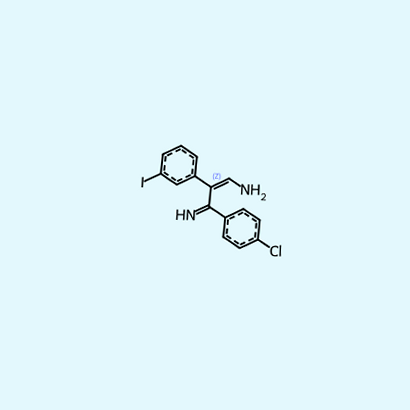 N=C(/C(=C\N)c1cccc(I)c1)c1ccc(Cl)cc1